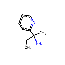 CCC(C)(N)c1ccccn1